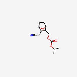 CC(C)OC(=O)OCC1C(CC#N)=C2CCC1O2